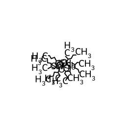 CCCCC(CC)C[Si](CC(CC)CCCC)(CC(CC)CCCC)[O][Cr](=[O])(=[O])[O][Si](CC(CC)CCCC)(CC(CC)CCCC)CC(CC)CCCC